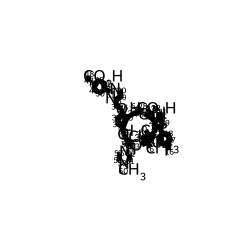 Cc1c(Cl)c2c(Cl)c(C)c1-c1c(-c3ccc(F)cc3)sc3ncnc(c13)O[C@@H](C(=O)O)Cc1cc(ccc1OCc1ccnc(C3=CC[C@@H](CC(=O)O)CC3)n1)OC[C@@H](CN1CCN(C)CC1)O2